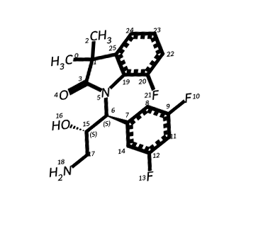 CC1(C)C(=O)N([C@@H](c2cc(F)cc(F)c2)[C@@H](O)CN)c2c(F)cccc21